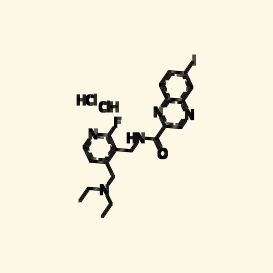 CCN(CC)Cc1ccnc(F)c1CNC(=O)c1cnc2cc(I)ccc2n1.Cl.Cl